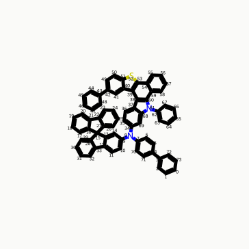 c1ccc(-c2ccc(N(c3ccc4c(c3)C3(c5ccccc5-c5ccccc53)c3ccccc3-4)c3ccc4c5c6c7cc(-c8ccccc8)ccc7sc6c6ccccc6c5n(-c5ccccc5)c4c3)cc2)cc1